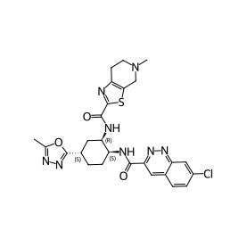 Cc1nnc([C@H]2CC[C@H](NC(=O)c3cc4ccc(Cl)cc4nn3)[C@H](NC(=O)c3nc4c(s3)CN(C)CC4)C2)o1